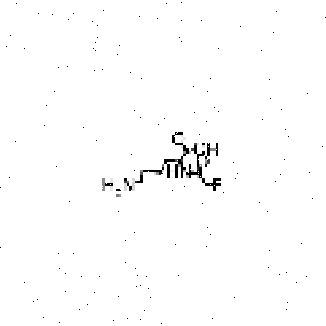 NCCCC[C@H](NC(=O)CF)C(=O)O